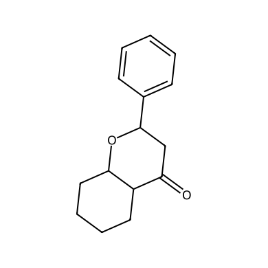 O=C1CC(c2ccccc2)OC2CCCCC12